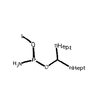 CCCCCCCC(CCCCCCC)OP(N)OI